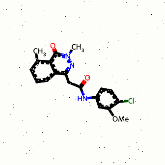 COc1cc(NC(=O)Cc2nn(C)c(=O)c3c(C)cccc23)ccc1Cl